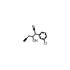 C#CCC(O)C(C#N)c1cccc(Cl)c1